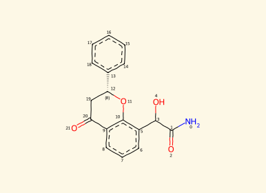 NC(=O)C(O)c1cccc2c1O[C@@H](c1ccccc1)CC2=O